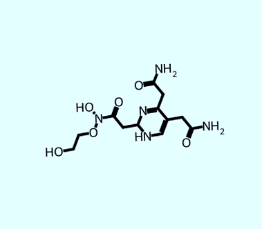 NC(=O)CC1=CNC(CC(=O)N(O)OCCO)N=C1CC(N)=O